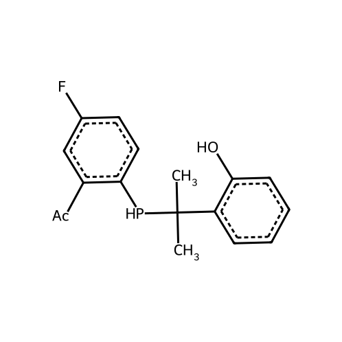 CC(=O)c1cc(F)ccc1PC(C)(C)c1ccccc1O